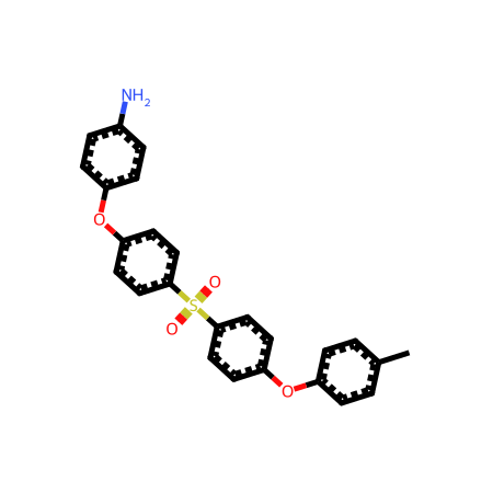 Cc1ccc(Oc2ccc(S(=O)(=O)c3ccc(Oc4ccc(N)cc4)cc3)cc2)cc1